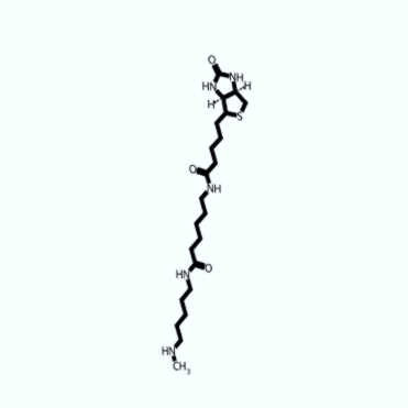 CNCCCCCNC(=O)CCCCCNC(=O)CCCCC1SC[C@@H]2NC(=O)N[C@H]12